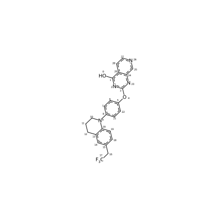 Oc1nc(Oc2ccc(N3CCCc4cc(CC(F)(F)F)ccc43)cc2)nc2cnccc12